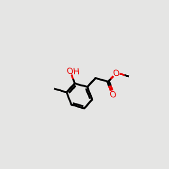 COC(=O)Cc1cccc(C)c1O